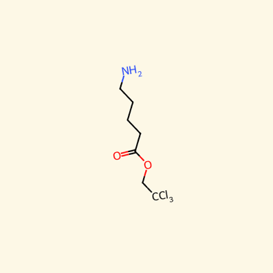 NCCCCC(=O)OCC(Cl)(Cl)Cl